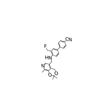 Cc1ncc(CNc2ccc(-c3ccc(C#N)cc3)cc2CF)c2c1OC(C)(C)OC2